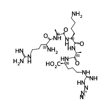 C[C@H](NC(=O)[C@H](CCCCN)NC(=O)[C@H](C)NC(=O)[C@@H](N)CCCNC(=N)N)C(=O)N[C@@H](CCCNC(=N)NN=[N+]=[N-])C(=O)O